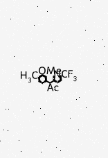 COc1cc(C(C(C)=O)c2ccc(C(F)(F)F)nc2)ccc1C